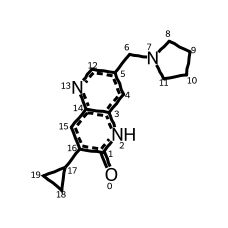 O=c1[nH]c2cc(CN3CCCC3)cnc2cc1C1CC1